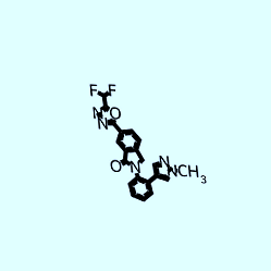 Cn1cc(-c2ccccc2N2Cc3ccc(-c4nnc(C(F)F)o4)cc3C2=O)cn1